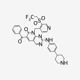 O=C(c1ccccc1)c1cc2cnc(Nc3ccc(C4CCNCC4)cc3)nc2n(Cc2ccncc2S(=O)(=O)CC(F)(F)F)c1=O